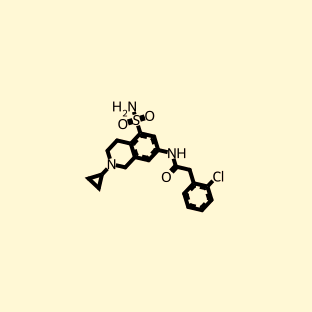 NS(=O)(=O)c1cc(NC(=O)Cc2ccccc2Cl)cc2c1CCN(C1CC1)C2